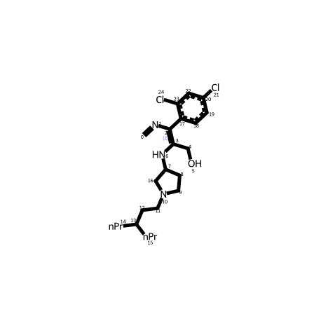 C=N/C(=C(/CO)NC1CCN(CCC(CCC)CCC)C1)c1ccc(Cl)cc1Cl